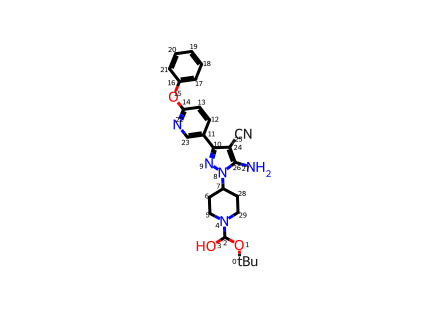 CC(C)(C)OC(O)N1CCC(n2nc(-c3ccc(Oc4ccccc4)nc3)c(C#N)c2N)CC1